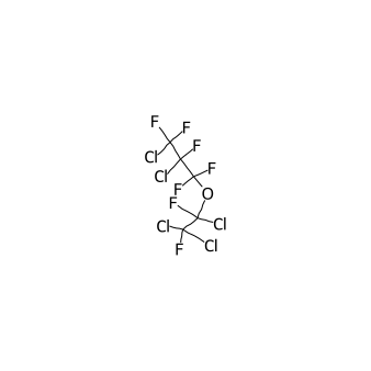 FC(F)(Cl)C(F)(Cl)C(F)(F)OC(F)(Cl)C(F)(Cl)Cl